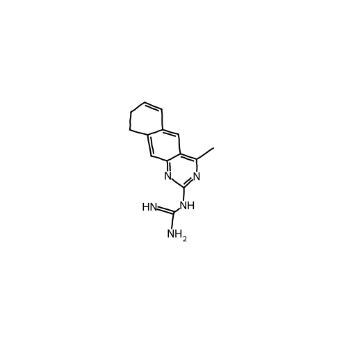 Cc1nc(NC(=N)N)nc2cc3c(cc12)C=CCC3